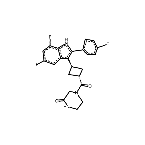 O=C1CN(C(=O)[C@H]2C[C@H](c3c(-c4ccc(F)cc4)[nH]c4c(F)cc(F)cc43)C2)CCN1